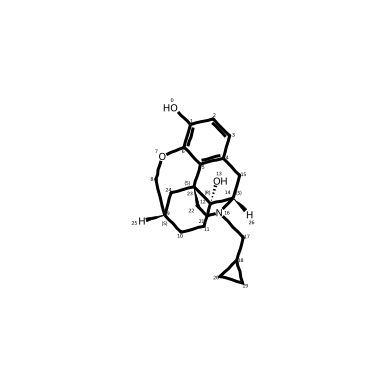 Oc1ccc2c3c1OC[C@H]1CC[C@]4(O)[C@H](C2)N(CC2CC2)CC[C@@]34C1